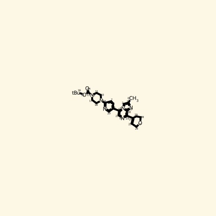 Cc1cn2c(-c3ccc(N4CCN(C(=O)OC(C)(C)C)CC4)nc3)cnc(C3=CCOCC3)c2n1